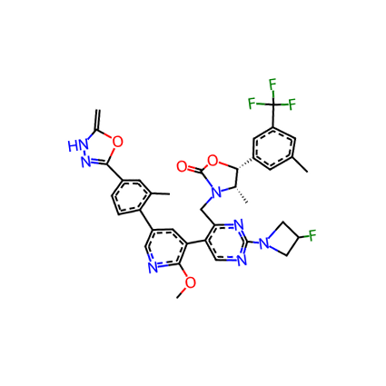 C=C1NN=C(c2ccc(-c3cnc(OC)c(-c4cnc(N5CC(F)C5)nc4CN4C(=O)O[C@H](c5cc(C)cc(C(F)(F)F)c5)[C@@H]4C)c3)c(C)c2)O1